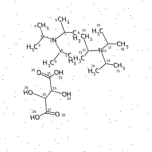 CC(C)N(C(C)C)C(C)C.CC(C)N(C(C)C)C(C)C.O=C(O)C(O)C(O)C(=O)O